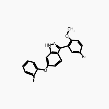 COc1ccc(Br)cc1-c1n[nH]c2cc(Oc3ccccc3F)ccc12